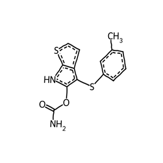 Cc1cccc(Sc2c(OC(N)=O)[nH]c3sccc23)c1